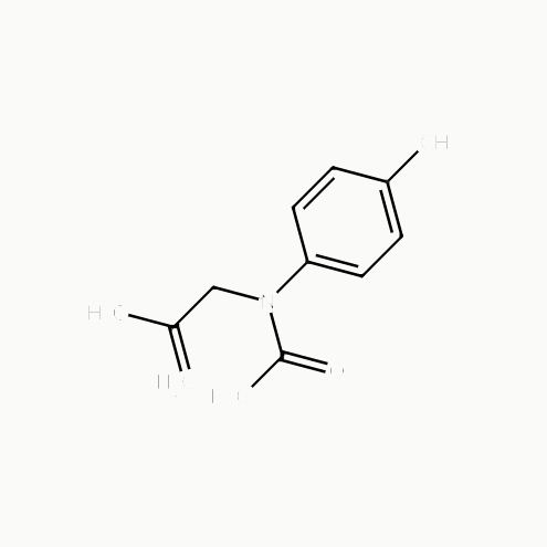 C=C(C)CN(C(C)=O)c1ccc(C)cc1